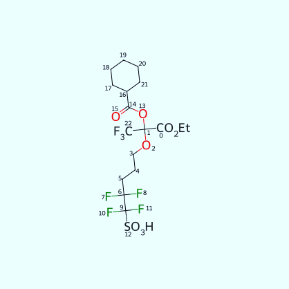 CCOC(=O)C(OCCCC(F)(F)C(F)(F)S(=O)(=O)O)(OC(=O)C1CCCCC1)C(F)(F)F